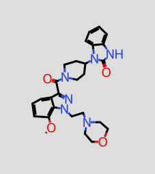 COc1cccc2c(C(=O)N3CCC(n4c(=O)[nH]c5ccccc54)CC3)nn(CCN3CCOCC3)c12